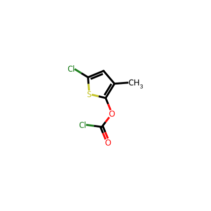 Cc1cc(Cl)sc1OC(=O)Cl